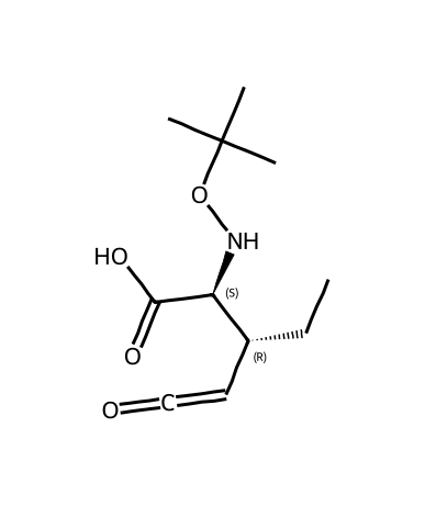 CC[C@H](C=C=O)[C@H](NOC(C)(C)C)C(=O)O